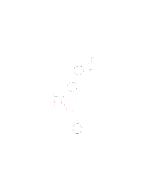 CC(CCSCc1ccccc1)(Oc1ccc(Oc2ccc(C(F)(F)F)cc2)cc1)C(=O)O